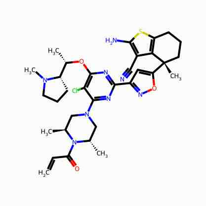 C=CC(=O)N1[C@@H](C)CN(c2nc(-c3cc([C@@]4(C)CCCc5sc(N)c(C#N)c54)on3)nc(O[C@@H](C)[C@@H]3CCCN3C)c2Cl)C[C@@H]1C